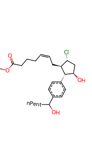 CCCCCC(O)c1ccc([C@@H]2[C@@H](C/C=C\CCCC(=O)OC(C)C)[C@H](Cl)C[C@H]2O)cc1